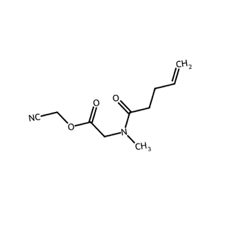 C=CCCC(=O)N(C)CC(=O)OCC#N